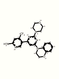 Nc1cc(C(F)(F)F)c(-c2cc(N3CCOc4ccccc43)nc(N3CCOCC3)n2)cn1